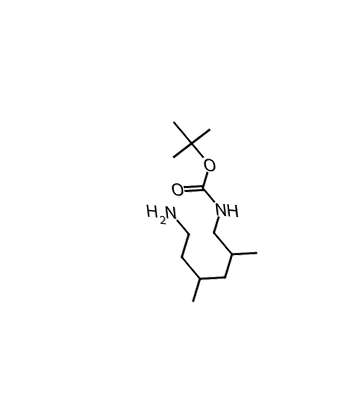 CC(CCN)CC(C)CNC(=O)OC(C)(C)C